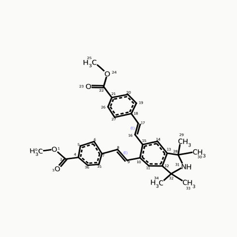 COC(=O)c1ccc(/C=C/c2cc3c(cc2/C=C/c2ccc(C(=O)OC)cc2)C(C)(C)NC3(C)C)cc1